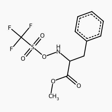 COC(=O)C(Cc1ccccc1)NOS(=O)(=O)C(F)(F)F